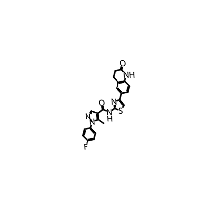 Cc1c(C(=O)Nc2nc(-c3ccc4c(c3)CCC(=O)N4)cs2)cnn1-c1ccc(F)cc1